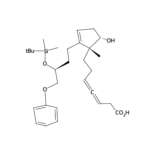 CC(C)(C)[Si](C)(C)O[C@@H](CCC1=CC[C@H](O)[C@]1(C)CCC=C=CCC(=O)O)COc1ccccc1